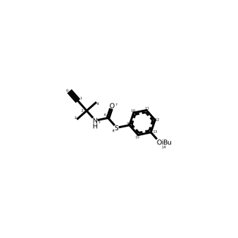 C#CC(C)(C)NC(=O)Sc1cccc(OCC(C)C)c1